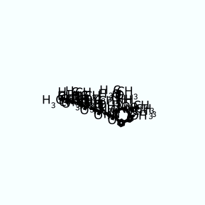 CC(C)(C)OC(=O)NCCC[C@@H](CNC(=O)[C@H](CCCNC(=O)[C@H](CCCNC(=O)[C@@H]1Cc2cccc(c2)-c2ccc(O)c(c2)C[C@H](NC(=O)OC(C)(C)C)C(=O)N[C@@H](CCCNC(=O)OC(C)(C)C)C(=O)N1)NC(=O)OC(C)(C)C)NC(=O)OC(C)(C)C)NC(=O)OC(C)(C)C